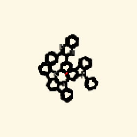 c1ccc(-c2nc3ccccc3nc2-c2cccc(-n3c4ccccc4c4ccc5c6ccccc6n(-c6ccc7c8ccccc8n(-c8ccccc8)c7c6)c5c43)c2)cc1